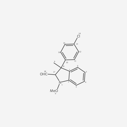 CON1c2ccccc2C(C)(c2ccc(Cl)cc2)C1C=O